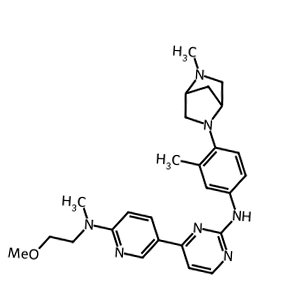 COCCN(C)c1ccc(-c2ccnc(Nc3ccc(N4CC5CC4CN5C)c(C)c3)n2)cn1